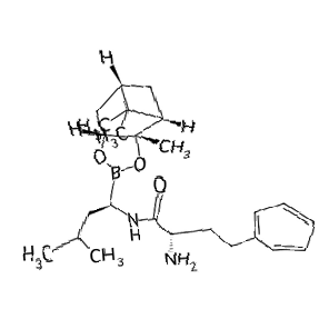 CC(C)C[C@H](NC(=O)[C@@H](N)CCc1ccccc1)B1O[C@@H]2C[C@@H]3C[C@@H](C3(C)C)[C@]2(C)O1